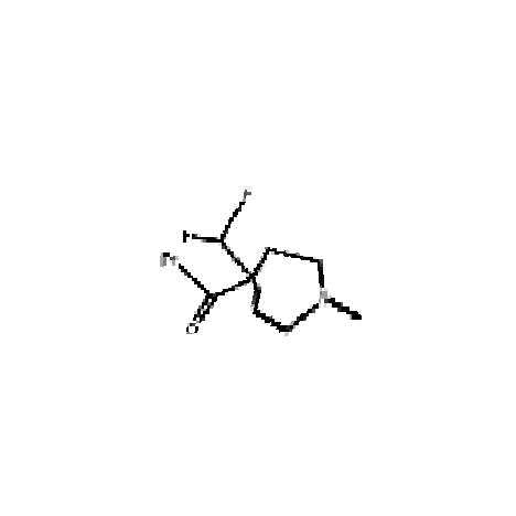 CC(C)C(=O)C1(C(F)F)CCN(C)CC1